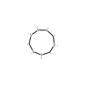 C1SCSSSCSS1